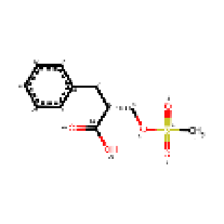 CS(=O)(=O)OC[C@@H](Cc1ccccc1)C(=O)O